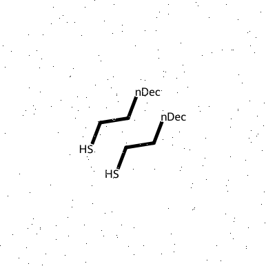 CCCCCCCCCCCCS.CCCCCCCCCCCCS